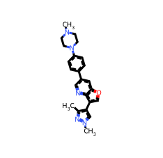 Cc1nn(C)cc1-c1coc2cc(-c3ccc(N4CCN(C)CC4)cc3)cnc12